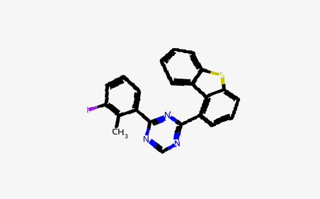 Cc1c(I)cccc1-c1ncnc(-c2cccc3sc4ccccc4c23)n1